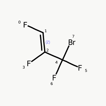 F/C=C(\F)C(F)(F)Br